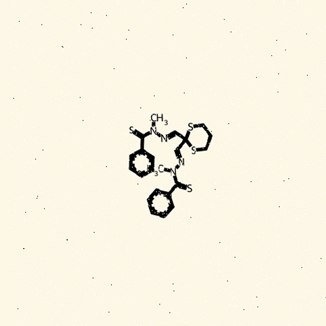 CN(/N=C/C1(/C=N/N(C)C(=S)c2ccccc2)SCCCS1)C(=S)c1ccccc1